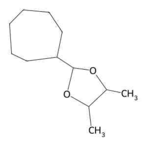 CC1OC(C2CCCCCC2)OC1C